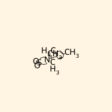 Cc1ccc(C(C)(C)N2CCS(=O)(=O)CC2)c(C)c1